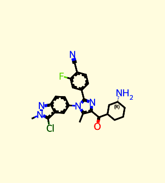 Cc1c(C(=O)C2CCC[C@@H](N)C2)nc(-c2ccc(C#N)c(F)c2)n1-c1ccc2nn(C)c(Cl)c2c1